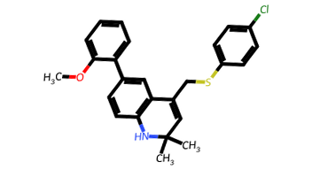 COc1ccccc1-c1ccc2c(c1)C(CSc1ccc(Cl)cc1)=CC(C)(C)N2